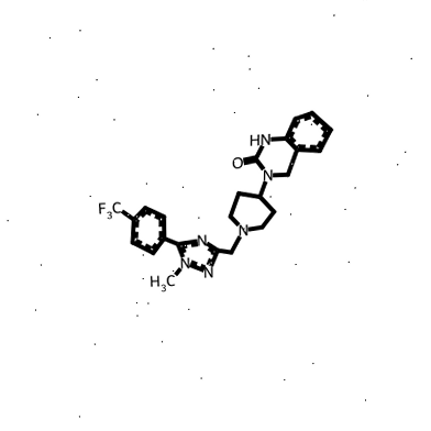 Cn1nc(CN2CCC(N3Cc4ccccc4NC3=O)CC2)nc1-c1ccc(C(F)(F)F)cc1